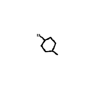 CCC1[CH]CC(C)CC1